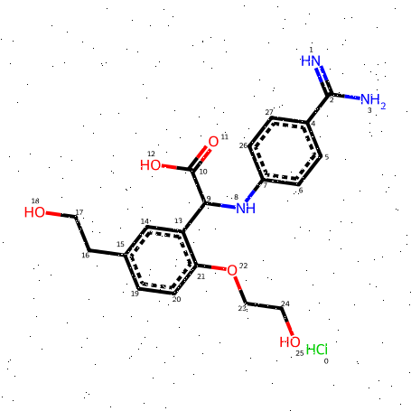 Cl.N=C(N)c1ccc(NC(C(=O)O)c2cc(CCO)ccc2OCCO)cc1